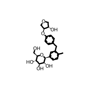 Cc1ccc([C@@H]2O[C@H](CO)[C@@H](O)[C@H](O)[C@H]2O)cc1Cc1ccc(O[C@H]2COC[C@@H]2O)cc1